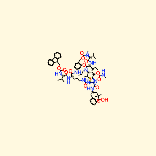 CCCN(C(=O)[C@@H](NC(=O)[C@@H](C(C)C)N(C)C(=O)OCc1ccc(NC(=O)[C@H](CCCNC(N)=O)NC(=O)[C@@H](NC(=O)OCC2c3ccccc3-c3ccccc32)C(C)C)cc1)[C@@H](C)CC)[C@H](C[C@@H](OC(=O)NC)c1nc(C(=O)N[C@@H](Cc2ccccc2)CC(C)(C)C(=O)O)cs1)C(C)C